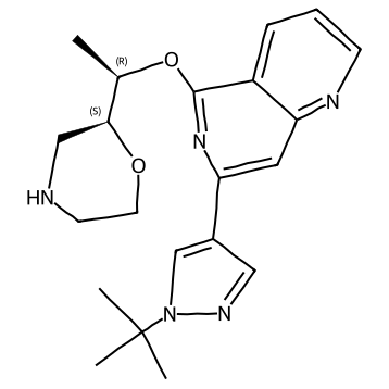 C[C@@H](Oc1nc(-c2cnn(C(C)(C)C)c2)cc2ncccc12)[C@@H]1CNCCO1